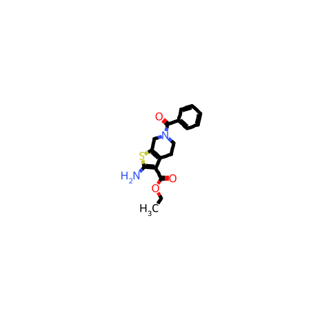 CCOC(=O)c1c(N)sc2c1CCN(C(=O)c1ccccc1)C2